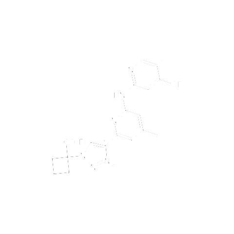 CCOC(=O)C1(n2cc(-c3cc(C)cc(Nc4cc(C(F)(F)F)ccn4)n3)nn2)CCC1